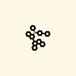 c1ccc(-c2ccc(N(c3ccccc3)c3cc(-c4cc5ccccc5c5c4ccc4ccccc45)cc4ccccc34)cc2)cc1